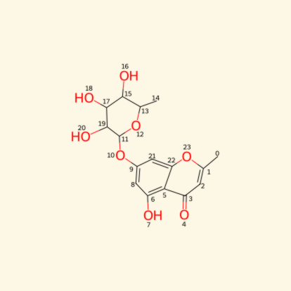 Cc1cc(=O)c2c(O)cc(OC3OC(C)C(O)C(O)C3O)cc2o1